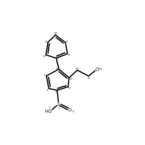 O=S(O)c1ccc(-c2ccccc2)c(CCCl)c1